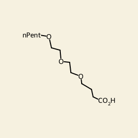 CCCCCOCCOCCOCCCC(=O)O